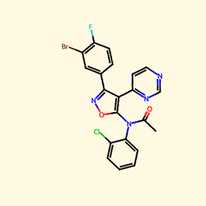 CC(=O)N(c1ccccc1Cl)c1onc(-c2ccc(F)c(Br)c2)c1-c1ccncn1